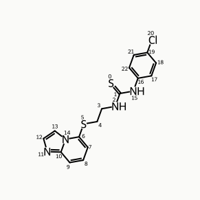 S=C(NCCSc1cccc2nccn12)Nc1ccc(Cl)cc1